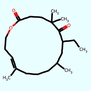 CCC1CC(C)CCC/C(C)=C/CCOC(=O)CCC(C)(C)C1=O